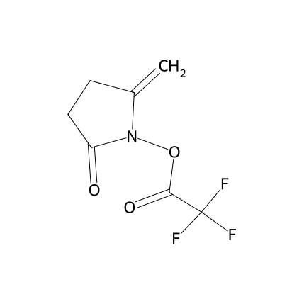 C=C1CCC(=O)N1OC(=O)C(F)(F)F